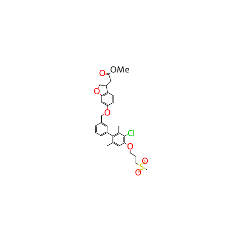 COC(=O)CC1COc2cc(OCc3cccc(-c4c(C)cc(OCCCS(C)(=O)=O)c(Cl)c4C)c3)ccc21